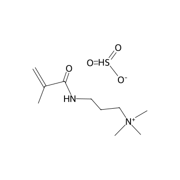 C=C(C)C(=O)NCCC[N+](C)(C)C.O=[SH](=O)[O-]